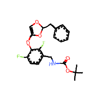 CC(C)(C)OC(=O)NCc1ccc(F)c(OC2=COC(Cc3ccccc3)O2)c1F